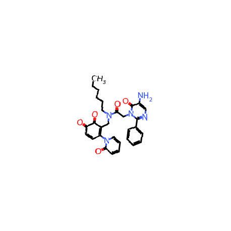 CCCCCCN(CC1=C(n2ccccc2=O)C=CC(=O)C1=O)C(=O)Cn1c(-c2ccccc2)ncc(N)c1=O